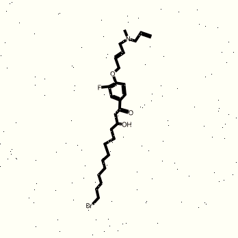 C=CCN(C)CC=CCOc1ccc(C(=O)CC(O)CCCCCCCCCCBr)cc1F